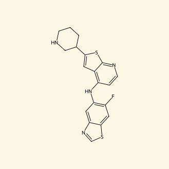 Fc1cc2scnc2cc1Nc1ccnc2sc(C3CCCNC3)cc12